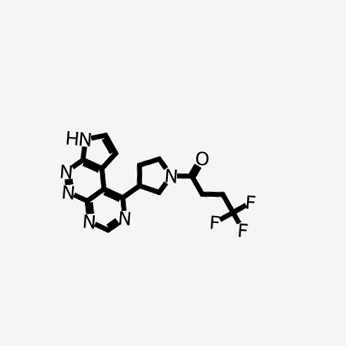 O=C(CCC(F)(F)F)N1CCC(c2ncnc3nnc4[nH]ccc4c23)C1